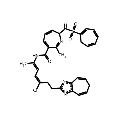 CC1=NC(NS(=O)(=O)C2=CC=CC=CC2)C=CC=C1C(=O)N/C(C)=C/C=C(/Cl)CCc1nc2c([nH]1)C=CCC=C2